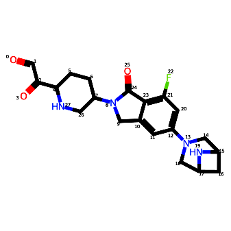 O=CC(=O)C1CCC(N2Cc3cc(N4CC5CC(C4)N5)cc(F)c3C2=O)CN1